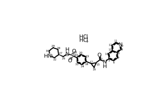 Cl.Cl.O=C(Nc1ccc2cnccc2c1)C1CC1c1ccc(S(=O)(=O)NC[C@@H]2CCCNC2)cc1